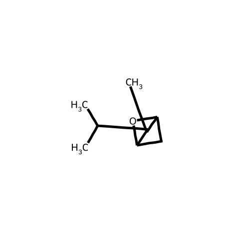 CC(C)C1C2CC(O2)C1C